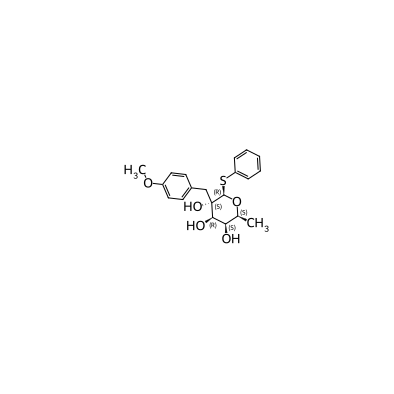 COc1ccc(C[C@@]2(O)[C@@H](Sc3ccccc3)O[C@@H](C)[C@@H](O)[C@H]2O)cc1